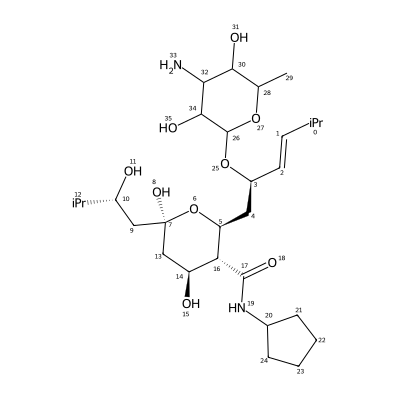 CC(C)/C=C/[C@@H](C[C@@H]1O[C@](O)(C[C@@H](O)C(C)C)C[C@H](O)[C@H]1C(=O)NC1CCCC1)OC1OC(C)C(O)C(N)C1O